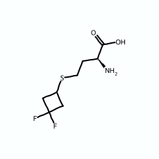 N[C@@H](CCSC1CC(F)(F)C1)C(=O)O